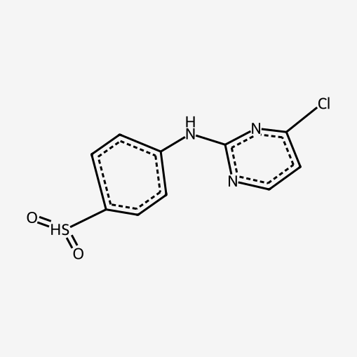 O=[SH](=O)c1ccc(Nc2nccc(Cl)n2)cc1